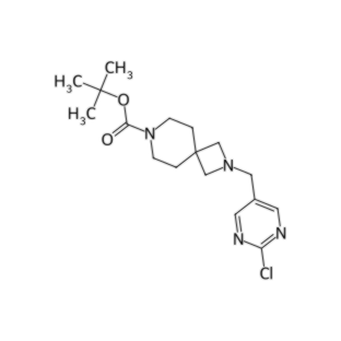 CC(C)(C)OC(=O)N1CCC2(CC1)CN(Cc1cnc(Cl)nc1)C2